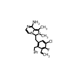 C=Cc1c(F)c(Cl)cc(CC2N(C)C(C)=C3C(N)=NC=CN32)c1CC(C)C